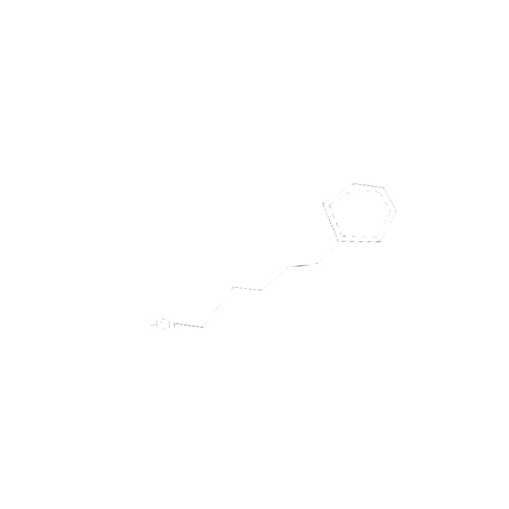 [SnH][CH2]CCCCc1ccccc1